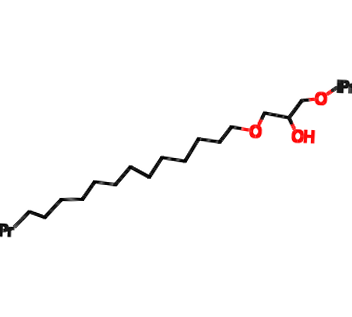 CC(C)CCCCCCCCCCCCCOCC(O)COC(C)C